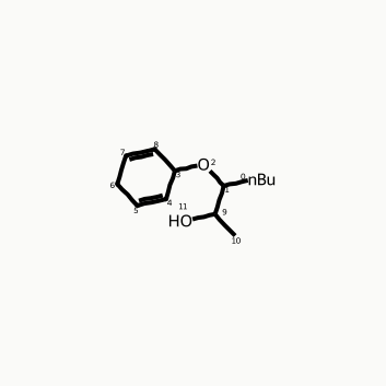 CCCCC(OC1C=CCC=C1)C(C)O